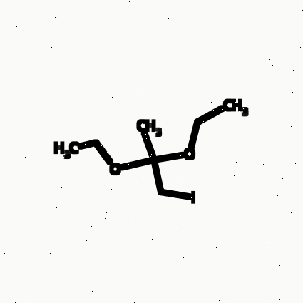 CCOC(C)(CI)OCC